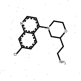 NCCC1CN(c2ccnc3cc(Cl)ccc23)CCO1